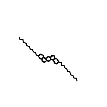 CCCCCCCCCCCCc1ccc2c(ccc3cc4c(ccc5cc(CCCCCCCCCCCC)ccc54)cc32)c1